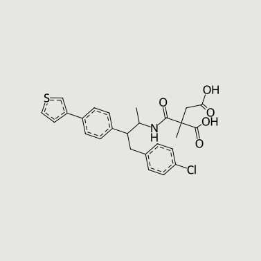 CC(NC(=O)C(C)(CC(=O)O)C(=O)O)C(Cc1ccc(Cl)cc1)c1ccc(-c2ccsc2)cc1